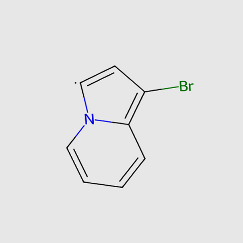 Brc1c[c]n2ccccc12